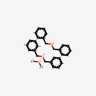 CCOCC.c1ccc(COCc2ccccc2)cc1.c1ccc(COCc2ccccc2)cc1